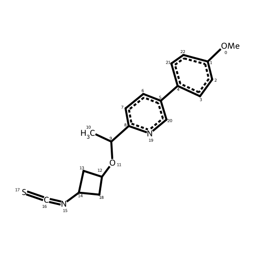 COc1ccc(-c2ccc(C(C)OC3CC(N=C=S)C3)nc2)cc1